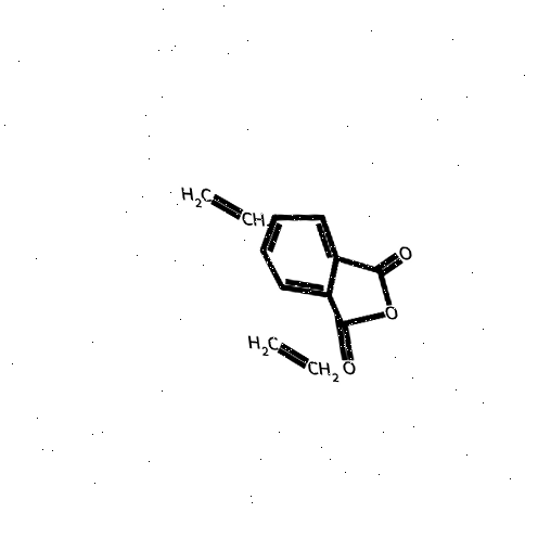 C=C.C=C.O=C1OC(=O)c2ccccc21